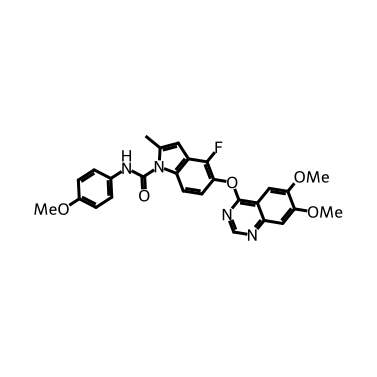 COc1ccc(NC(=O)n2c(C)cc3c(F)c(Oc4ncnc5cc(OC)c(OC)cc45)ccc32)cc1